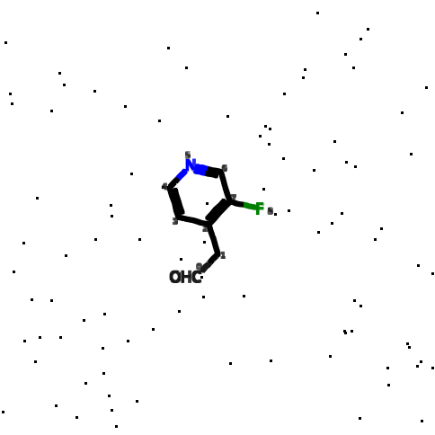 O=CCc1ccncc1F